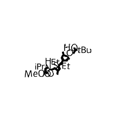 CCC(CC)(c1ccc(OCC(O)C(C)(C)C)c(C)c1)c1cc(C)c(C(=O)NC(C(=O)OC)C(C)C)s1